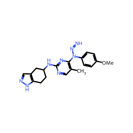 COc1ccc(N(N=N)c2nc(NC3CCc4[nH]ncc4C3)ncc2C)cc1